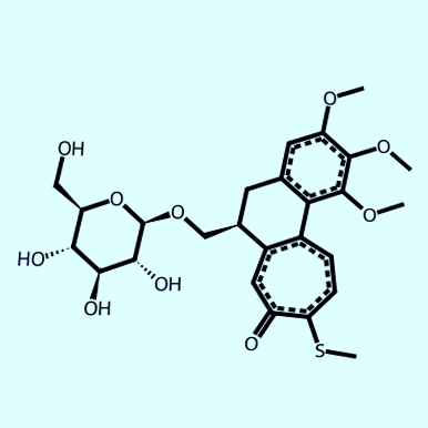 COc1cc2c(c(OC)c1OC)-c1ccc(SC)c(=O)cc1[C@@H](CO[C@@H]1O[C@H](CO)[C@@H](O)[C@H](O)[C@H]1O)C2